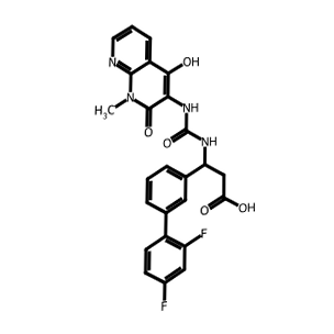 Cn1c(=O)c(NC(=O)NC(CC(=O)O)c2cccc(-c3ccc(F)cc3F)c2)c(O)c2cccnc21